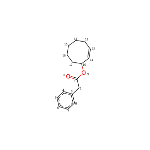 O=C(Cc1ccccc1)OC1C=CCCCCC1